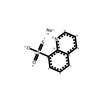 O=S([O-])(=S)c1cccc2cccnc12.[Na+]